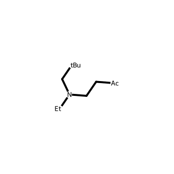 CCN(CCC(C)=O)CC(C)(C)C